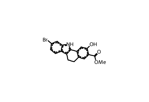 COC(=O)c1cc2c(cc1O)-c1[nH]c3cc(Br)ccc3c1CC2